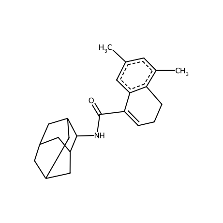 Cc1cc(C)c2c(c1)C(C(=O)NC1C3CC4CC(C3)CC1C4)=CCC2